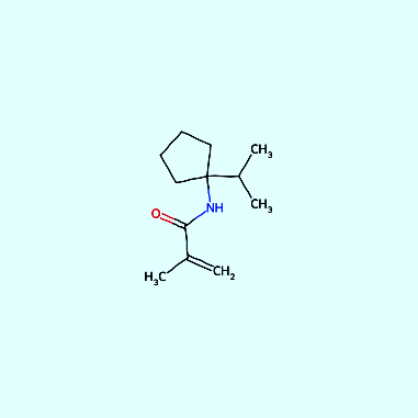 C=C(C)C(=O)NC1(C(C)C)CCCC1